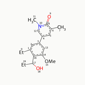 CCc1cc(-c2cc(C)c(=O)n(C)c2)cc(OC)c1C(O)CC